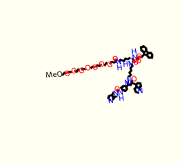 COCCOCCOCCOCCOCCOCCOCCOCCC(=O)NCCCCC[C@H](NC(=O)OCC1c2ccccc2-c2ccccc21)C(=O)NCCCCCCn1nc(-c2ccc(NC(=O)N3Cc4ccncc4C3)cc2)cc(-c2cccc3ncccc23)c1=O